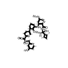 BC(B)(NC(=O)c1nnc(NC)cc1Nc1cccc(-c2ccc(C(=C=O)N(C)Cc3cc(CCC)ccn3)nc2)c1OC)C1CCC1